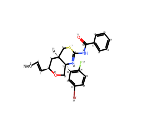 COC=C[C@H]1C[C@H]2CSC(NC(=O)c3ccccc3)=N[C@@]2(c2cc(Br)ccc2F)CO1